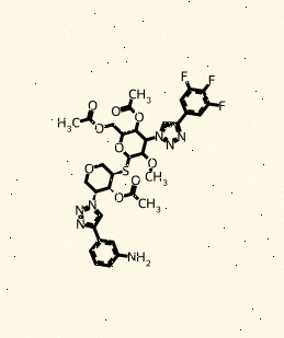 COC1C(S[C@@H]2COC[C@H](n3cc(-c4cccc(N)c4)nn3)[C@H]2OC(C)=O)OC(COC(C)=O)C(OC(C)=O)C1n1cc(-c2cc(F)c(F)c(F)c2)nn1